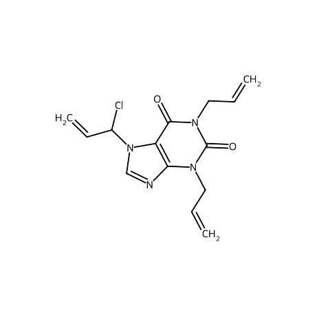 C=CCn1c(=O)c2c(ncn2C(Cl)C=C)n(CC=C)c1=O